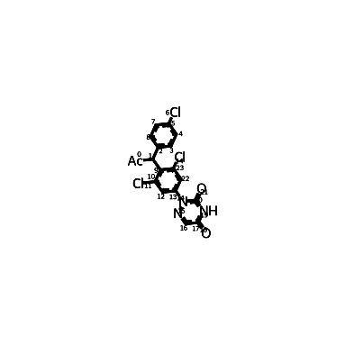 CC(=O)C(c1ccc(Cl)cc1)c1c(Cl)cc(-n2ncc(=O)[nH]c2=O)cc1Cl